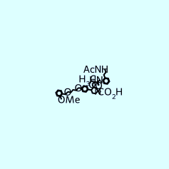 COc1ccccc1COCCCOc1ccc(C2CCN(C(=O)O)CC2O[C@H](C)C(=O)Nc2ccccc2CCNC(C)=O)cc1